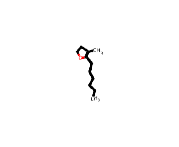 CCCCCCC1=C(C)CCO1